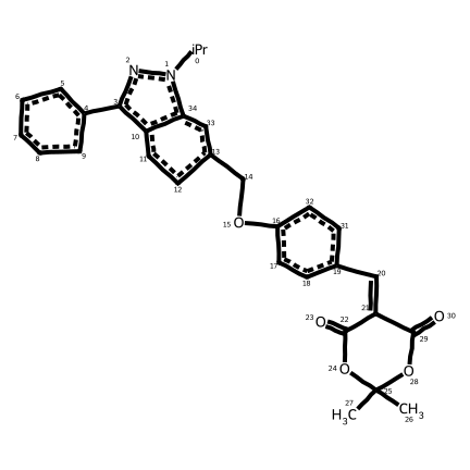 CC(C)n1nc(-c2ccccc2)c2ccc(COc3ccc(C=C4C(=O)OC(C)(C)OC4=O)cc3)cc21